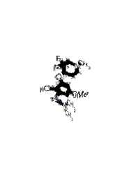 COc1cc(/N=C\N(C)C)c(C#N)c(OC2CCN(C)CC2(F)F)c1